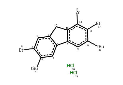 CCc1cc2c(cc1C(C)(C)C)-c1cc(C(C)(C)C)c(CC)[c]([Zr])c1C2.Cl.Cl